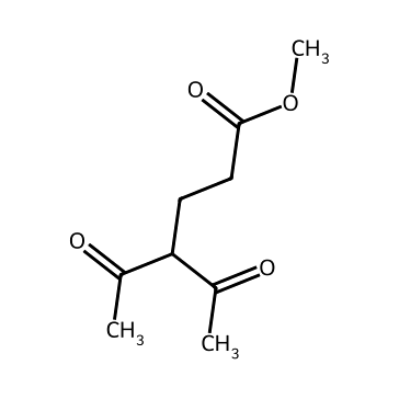 COC(=O)CCC(C(C)=O)C(C)=O